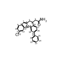 NC(=O)CC(Cc1cc2ccc(Cl)cc2[nH]1)c1ccc(-c2ccccc2)cc1